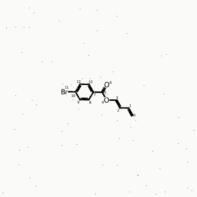 C=CC=COC(=O)c1ccc(Br)cc1